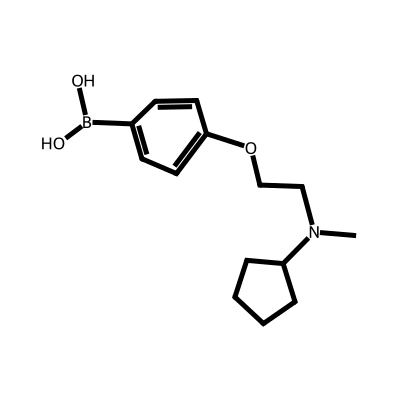 CN(CCOc1ccc(B(O)O)cc1)C1CCCC1